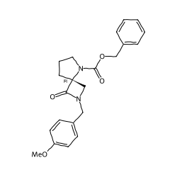 COc1ccc(CN2C[C@]3(CCCN3C(=O)OCc3ccccc3)C2=O)cc1